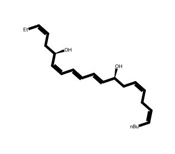 CC/C=C\C[C@@H](O)\C=C/C=C/C=C/[C@@H](O)C/C=C\C/C=C\CCCC